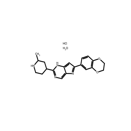 CC1CC(c2ncc3nc(-c4ccc5c(c4)OCCO5)cc-3[nH]2)CCN1.Cl.O